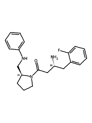 N[C@@H](CC(=O)N1CCC[C@H]1CNc1ccccc1)Cc1ccccc1F